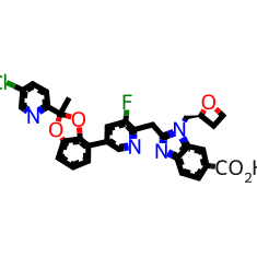 CC1(c2ccc(Cl)cn2)Oc2cccc(-c3cnc(Cc4nc5ccc(C(=O)O)cc5n4C[C@@H]4CCO4)c(F)c3)c2O1